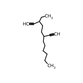 C#CC(CC)CCC(C#C)CC[CH]CCC